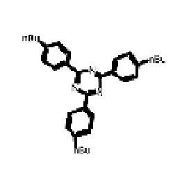 CCCCc1ccc(-c2nc(-c3ccc(CCCC)cc3)nc(-c3ccc(CCCC)cc3)n2)cc1